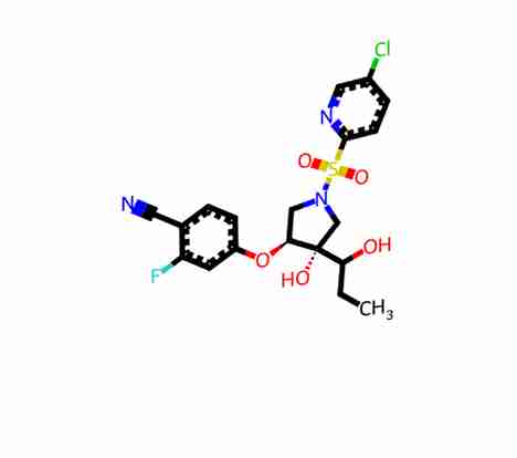 CCC(O)[C@]1(O)CN(S(=O)(=O)c2ccc(Cl)cn2)C[C@@H]1Oc1ccc(C#N)c(F)c1